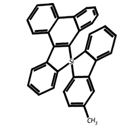 Cc1ccc2c(c1)-c1ccccc1[Si]21c2ccccc2-c2c1c1ccccc1c1ccccc21